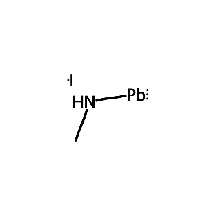 C[NH][Pb].[I]